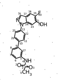 CS(=O)(=O)Nc1cccc(-c2ccc(-n3ncc4cc(F)c(O)cc43)cc2)c1